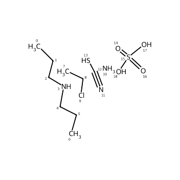 CCCNCCC.CCCl.N.N#CS.O=S(=O)(O)O